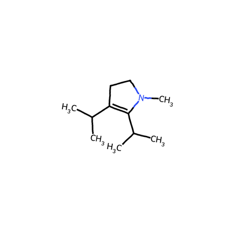 CC(C)C1=C(C(C)C)N(C)CC1